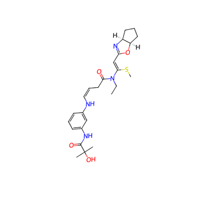 CCN(C(=O)C/C=C\Nc1cccc(NC(=O)C(C)(C)O)c1)/C(=C/C1=N[C@H]2CCC[C@H]2O1)SC